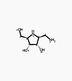 NC[C@@H]1N[C@H](CO)[C@@H](O)[C@H]1O